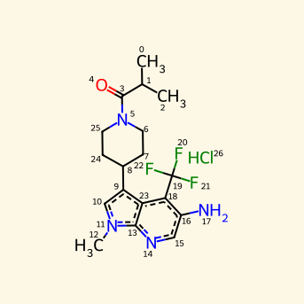 CC(C)C(=O)N1CCC(c2cn(C)c3ncc(N)c(C(F)(F)F)c23)CC1.Cl